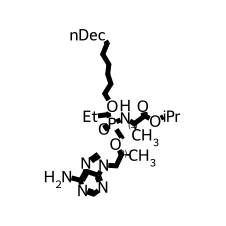 CCCCCCCCCCCCCCCCOC(CC)P(=O)(CO[C@H](C)Cn1cnc2c(N)ncnc21)N[C@@H](C)C(=O)OC(C)C